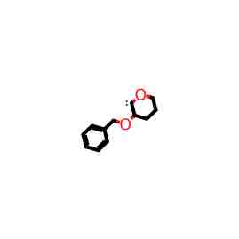 [C]1OCCCC1OCc1ccccc1